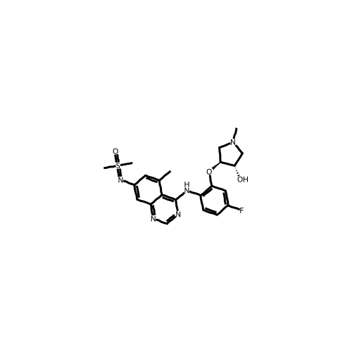 Cc1cc(N=S(C)(C)=O)cc2ncnc(Nc3ccc(F)cc3O[C@H]3CN(C)C[C@@H]3O)c12